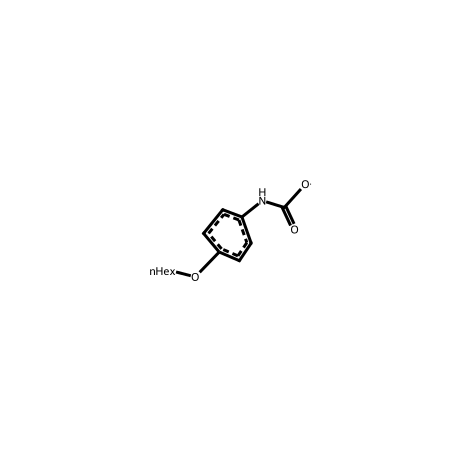 CCCCCCOc1ccc(NC([O])=O)cc1